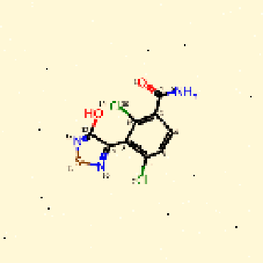 NC(=O)c1ccc(Cl)c(-c2nsnc2O)c1Cl